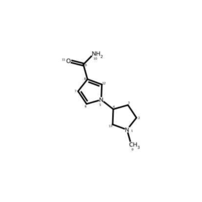 CN1CCC(n2ccc(C(N)=O)c2)C1